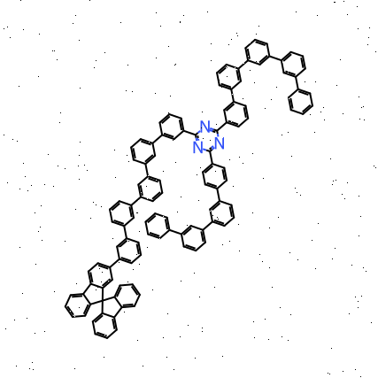 c1ccc(-c2cccc(-c3cccc(-c4ccc(-c5nc(-c6cccc(-c7cccc(-c8cccc(-c9cccc(-c%10ccccc%10)c9)c8)c7)c6)nc(-c6cccc(-c7cccc(-c8cccc(-c9cccc(-c%10cccc(-c%11ccc%12c(c%11)C%11(c%13ccccc%13-c%13ccccc%13%11)c%11ccccc%11-%12)c%10)c9)c8)c7)c6)n5)cc4)c3)c2)cc1